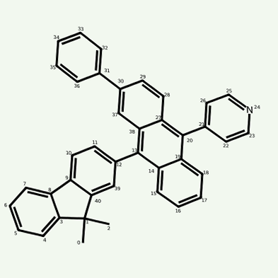 CC1(C)c2ccccc2-c2ccc(-c3c4ccccc4c(-c4ccncc4)c4ccc(-c5ccccc5)cc34)cc21